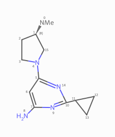 CN[C@@H]1CCN(c2cc(N)nc(C3CC3)n2)C1